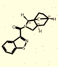 O=C(c1nsc2ccccc12)N1C[C@@H]2C[C@H]3CCC2[C@@H]1C3